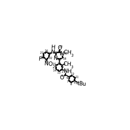 Cc1c(NC(=O)c2ccc(C(C)(C)C)cc2)cccc1-c1cn(C)c(=O)c(Nc2ccc(F)c([N+](=O)[O-])c2)n1